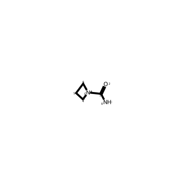 [NH]C(=O)[N+]1[CH]CC1